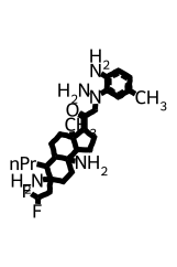 CCCC1C2CCC3(C)C(C(=O)CN(N)c4cc(C)ccc4N)CCC3C2(N)CCC1(N)CC(F)F